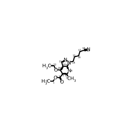 CCOC(=O)c1c(C)nc2c(cnn2CCCCC#N)c1OCC